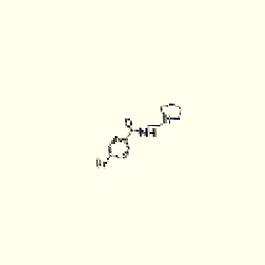 O=C(NCCN1CCCC1)c1ccc(Br)cc1